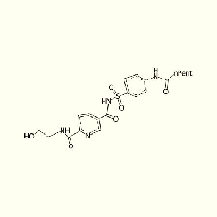 CCCCCC(=O)Nc1ccc(S(=O)(=O)NC(=O)c2ccc(C(=O)NCCO)nc2)cc1